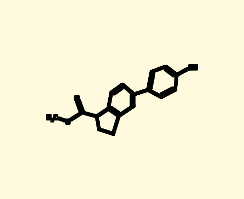 COC(=O)C1CCc2cc(-c3ccc(O)cc3)ccc21